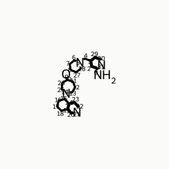 Nc1cc(CN2CCC(OC3CCCN(C4CCCc5cnccc54)CC3)CC2)ccn1